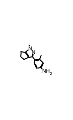 Cc1cc(N)ccc1-c1nn(C)c2c1CCC2